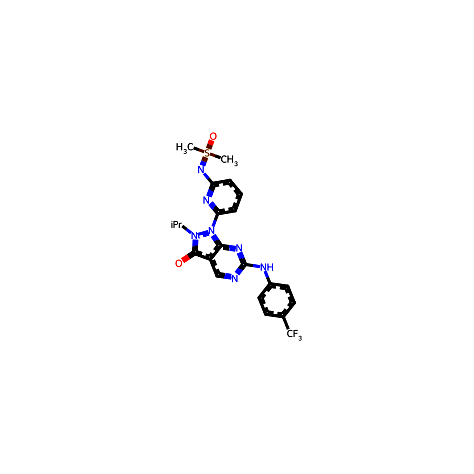 CC(C)n1c(=O)c2cnc(Nc3ccc(C(F)(F)F)cc3)nc2n1-c1cccc(N=S(C)(C)=O)n1